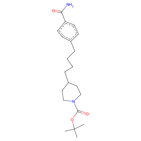 CC(C)(C)OC(=O)N1CCC(CCCCc2ccc(C(N)=O)cc2)CC1